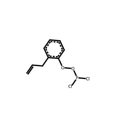 C=CCc1ccccc1OOP(Cl)Cl